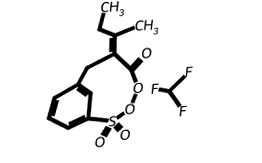 CCC(C)=C1Cc2cccc(c2)S(=O)(=O)OOC1=O.FC(F)F